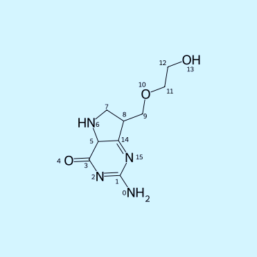 NC1=NC(=O)C2NCC(COCCO)C2=N1